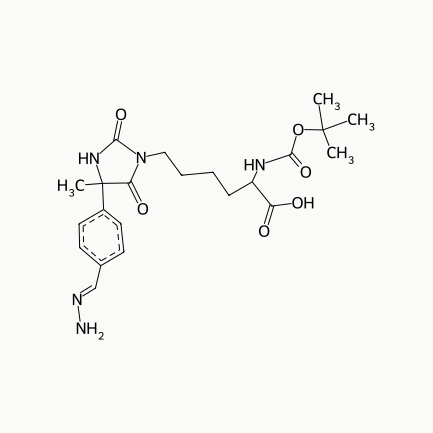 CC(C)(C)OC(=O)NC(CCCCN1C(=O)NC(C)(c2ccc(C=NN)cc2)C1=O)C(=O)O